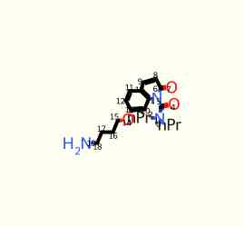 CCCN(CCC)C(=O)n1c(=O)ccc2ccc(OCCCCN)cc21